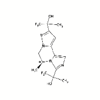 C[C@H]1Cn2nc(C(C)(O)C(F)(F)F)cc2-c2cnc(C(C)(O)C(F)(F)F)n21